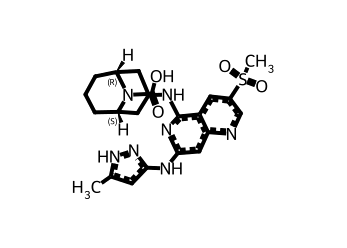 Cc1cc(Nc2cc3ncc(S(C)(=O)=O)cc3c(NC3C[C@H]4CCC[C@@H](C3)N4C(=O)O)n2)n[nH]1